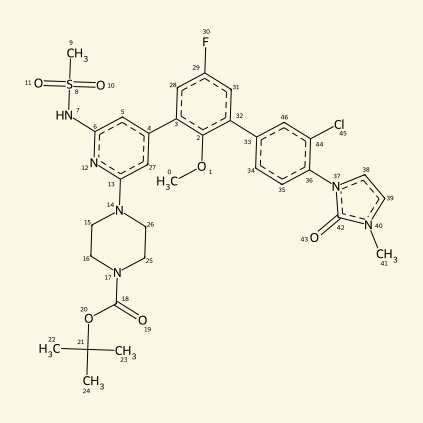 COc1c(-c2cc(NS(C)(=O)=O)nc(N3CCN(C(=O)OC(C)(C)C)CC3)c2)cc(F)cc1-c1ccc(-n2ccn(C)c2=O)c(Cl)c1